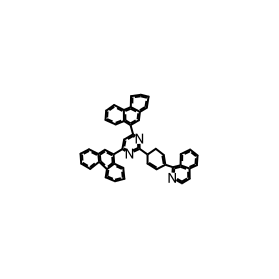 C1=CC(c2nc(-c3cc4ccccc4c4ccccc34)cc(-c3cc4ccccc4c4ccccc34)n2)CC=C1c1nccc2ccccc12